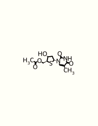 CC(=O)OC[C@@H]1S[C@@H](n2cc(C)c(=O)[nH]c2=O)C[C@H]1O